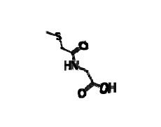 CSCC(=O)NCC(=O)O